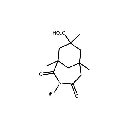 CC(C)N1C(=O)CC2(C)CC(C)(C(=O)O)CC(C)(C2)C1=O